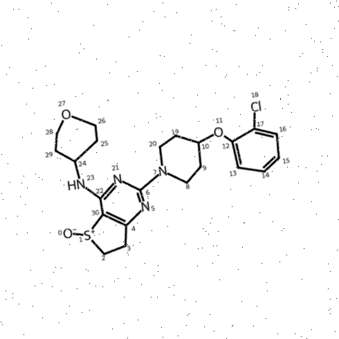 [O-][S+]1CCc2nc(N3CCC(Oc4ccccc4Cl)CC3)nc(NC3CCOCC3)c21